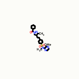 COc1nccnc1N(C)S(=O)(=O)c1ccc(/C=C/C2CN(C(=O)c3ccccc3)N=C2C)cc1